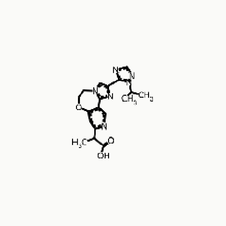 CC(C(=O)O)c1cc2c(cn1)-c1nc(-c3ncnn3C(C)C)cn1CCO2